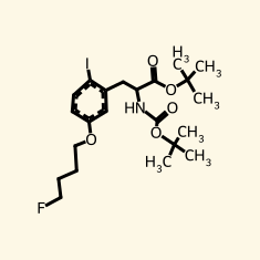 CC(C)(C)OC(=O)NC(Cc1cc(OCCCCF)ccc1I)C(=O)OC(C)(C)C